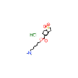 CN(C)CCCCCCOC(=O)c1ccc2c(c1)C=CS2(=O)=O.Cl